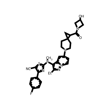 CCc1nn2ccc(N3CCC4(CC3)CC4C(=O)N3CC(O)C3)cc2c1N(C)c1nc(-c2ccc(F)cc2)c(C#N)s1